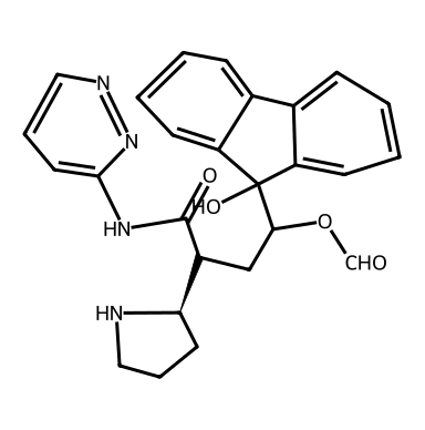 O=COC(CC(C(=O)Nc1cccnn1)[C@H]1CCCN1)C1(O)c2ccccc2-c2ccccc21